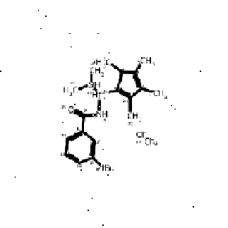 CC1=C(C)C(C)[C]([Hf+2]([NH]C(=O)c2cccc(C(C)(C)C)c2)[SiH](C)C)=C1C.[Cl-].[Cl-]